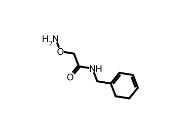 NOCC(=O)NCC1=CC=CCC1